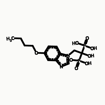 CCCCOc1ccc2c(c1)ncn2CC(O)(P(=O)(O)O)P(=O)(O)O